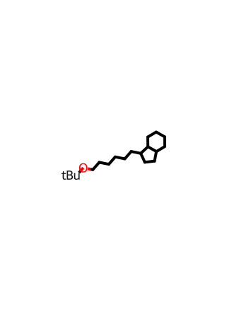 CC(C)(C)OCCCCCCC1CCC2CCCCC12